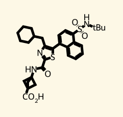 CC(C)(C)NS(=O)(=O)c1ccc(-c2sc(C(=O)NC34CC(C(=O)O)(C3)C4)nc2CC2CCCCC2)c2ccccc12